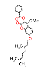 COc1c(OC(=O)c2ccccc2)c(=O)oc2cc(OC/C=C(\C)CCC=C(C)C)ccc12